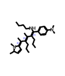 CCCCN\C(=C(CCC)/C(C)=C(CCC)/C(C)=C1\C=CC(C)N1C)c1ccc(N(C)C)cc1